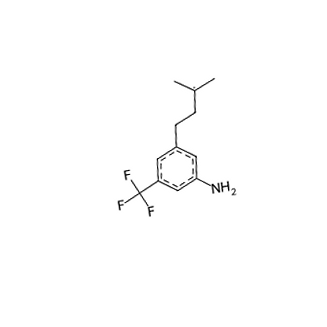 C[C](C)CCc1cc(N)cc(C(F)(F)F)c1